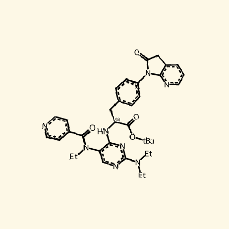 CCN(CC)c1ncc(N(CC)C(=O)c2ccncc2)c(N[C@@H](Cc2ccc(N3C(=O)Cc4cccnc43)cc2)C(=O)OC(C)(C)C)n1